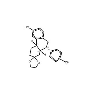 Oc1ccc([C@H]2Oc3ccc(O)cc3[C@H]3CCC4(C[C@H]32)OCCO4)cc1